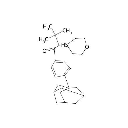 CC(C)(C)C(C(=O)c1ccc(C23CC4CC(CC(C4)C2)C3)cc1)[SH]1CCOCC1